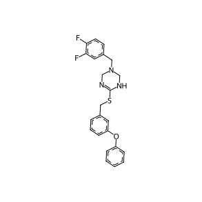 Fc1ccc(CN2CN=C(SCc3cccc(Oc4ccccc4)c3)NC2)cc1F